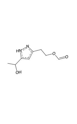 CC(O)c1cc(CCOC=O)n[nH]1